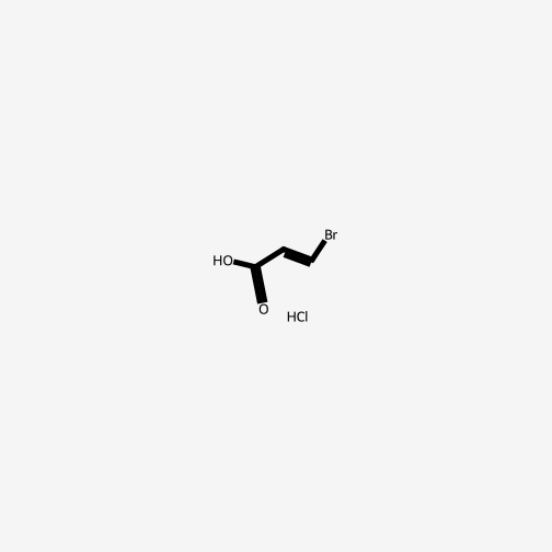 Cl.O=C(O)C=CBr